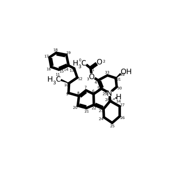 CC(=O)OC1=C2C3C=C(C[C@@H](C)CCc4ccccc4)C=CC3=C3CCCC[C@@H]3N2C[C@H](O)C1